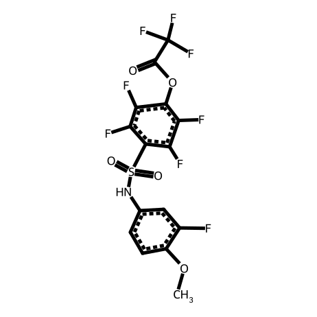 COc1ccc(NS(=O)(=O)c2c(F)c(F)c(OC(=O)C(F)(F)F)c(F)c2F)cc1F